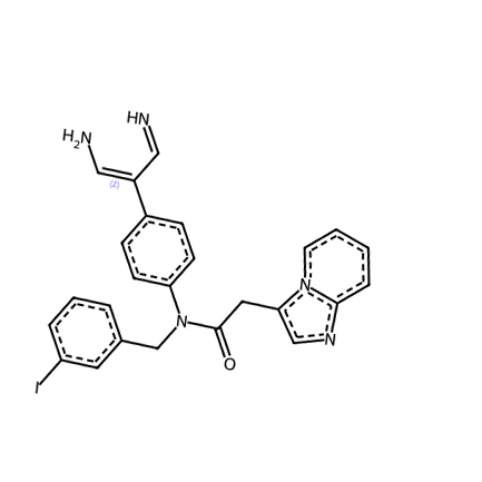 N=C/C(=C\N)c1ccc(N(Cc2cccc(I)c2)C(=O)Cc2cnc3ccccn23)cc1